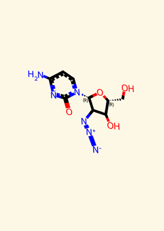 [N-]=[N+]=NC1C(O)[C@@H](CO)O[C@H]1n1ccc(N)nc1=O